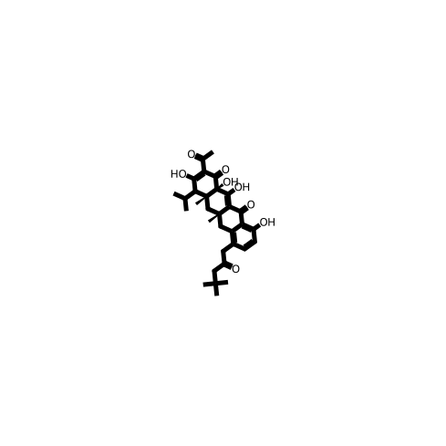 CC(=O)C1=C(O)C(C(C)C)[C@@]2(C)C[C@@]3(C)Cc4c(CC(=O)CC(C)(C)C)ccc(O)c4C(=O)C3=C(O)[C@@]2(O)C1=O